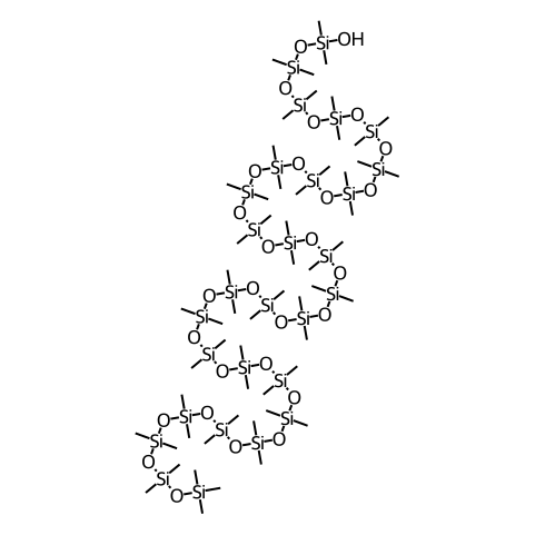 C[Si](C)(C)O[Si](C)(C)O[Si](C)(C)O[Si](C)(C)O[Si](C)(C)O[Si](C)(C)O[Si](C)(C)O[Si](C)(C)O[Si](C)(C)O[Si](C)(C)O[Si](C)(C)O[Si](C)(C)O[Si](C)(C)O[Si](C)(C)O[Si](C)(C)O[Si](C)(C)O[Si](C)(C)O[Si](C)(C)O[Si](C)(C)O[Si](C)(C)O[Si](C)(C)O[Si](C)(C)O[Si](C)(C)O[Si](C)(C)O[Si](C)(C)O[Si](C)(C)O[Si](C)(C)O[Si](C)(C)O